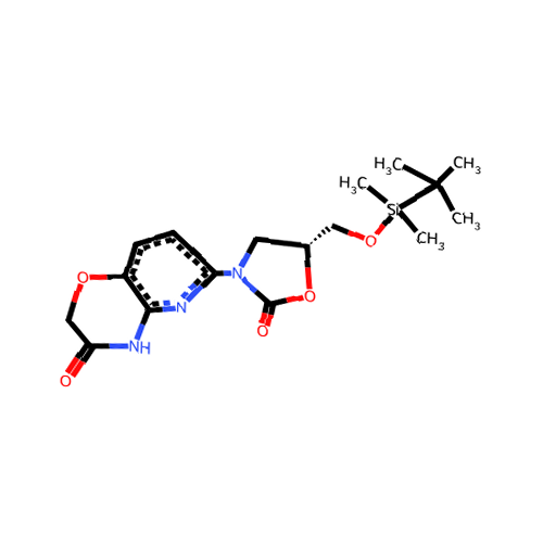 CC(C)(C)[Si](C)(C)OC[C@H]1CN(c2ccc3c(n2)NC(=O)CO3)C(=O)O1